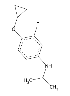 CC(C)Nc1ccc(OC2CC2)c(F)c1